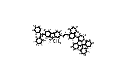 CC1(C)c2cc(/C=C/c3ccc(-c4cccc5c4-c4ccccc4C5(c4ccccc4)c4ccccc4)c4ccccc34)ccc2-c2ccc(N(c3ccccc3)c3ccccc3)cc21